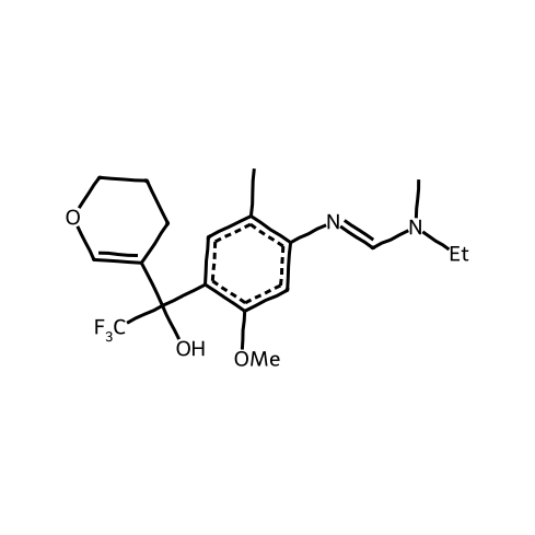 CCN(C)C=Nc1cc(OC)c(C(O)(C2=COCCC2)C(F)(F)F)cc1C